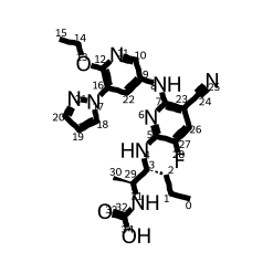 CCC[C@@H](Nc1nc(Nc2cnc(OCC)c(-n3cccn3)c2)c(C#N)cc1F)[C@H](C)NC(=O)O